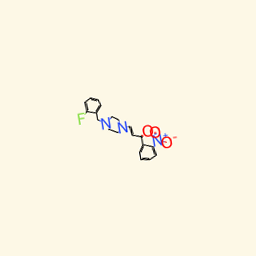 O=C(C=CN1CCN(Cc2ccccc2F)CC1)c1ccccc1[N+](=O)[O-]